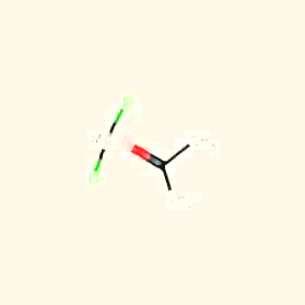 [CH2]C(C)=O.[Cl][Mg][Cl]